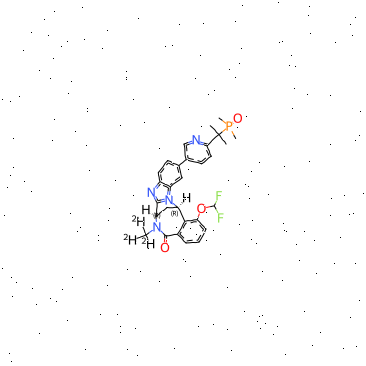 [2H]C([2H])([2H])N1C(=O)c2cccc(OC(F)F)c2[C@H]2C[C@@H]1c1nc3ccc(-c4ccc(C(C)(C)P(C)(C)=O)nc4)cc3n12